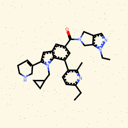 CCc1ccc(-c2cc(C(=O)N3Cc4cnn(CC)c4C3)cc3cc(C4=CCCNC4)n(CC4CC4)c23)c(C)n1